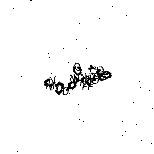 CC(C)(C)OC(=O)C1(NC(=O)c2cnc(-c3c4ccc(OC5CCN(c6ncccn6)CC5)cc4nn3C3CCOCC3)nc2C(F)(F)F)C2CC3CC(C2)CC1C3